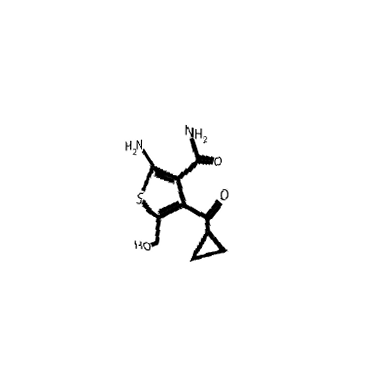 NC(=O)c1c(N)sc(CO)c1C(=O)C1CC1